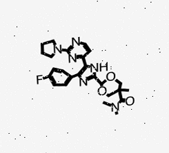 CN(C)C(=O)C1(C)COC(c2nc(-c3ccc(F)cc3)c(-c3ccnc(N4CCCC4)n3)[nH]2)OC1